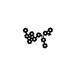 CC1(C)c2ccccc2-c2ccc(N(c3ccc(-c4ccccc4)cc3)c3cccc(-c4cccc5c4-c4ccccc4C54c5ccccc5-c5ccc(-c6ccccc6)cc54)c3)cc21